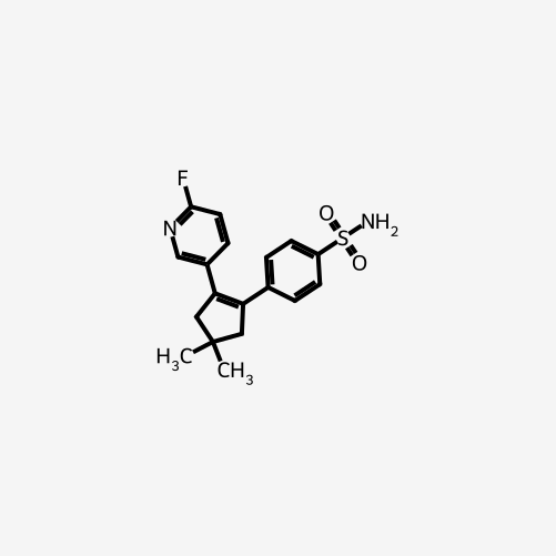 CC1(C)CC(c2ccc(S(N)(=O)=O)cc2)=C(c2ccc(F)nc2)C1